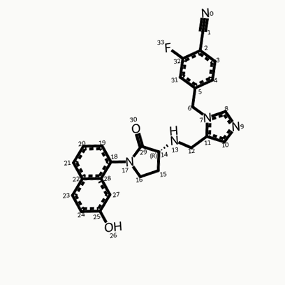 N#Cc1ccc(Cn2cncc2CN[C@@H]2CCN(c3cccc4ccc(O)cc34)C2=O)cc1F